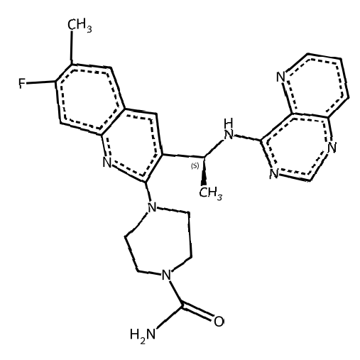 Cc1cc2cc([C@H](C)Nc3ncnc4cccnc34)c(N3CCN(C(N)=O)CC3)nc2cc1F